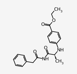 CCOC(=O)c1ccc(N[C@@H](C)C(=O)NC(=O)Cc2ccccc2)cc1